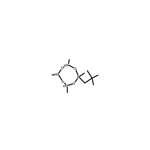 C[SiH]1O[SiH](C)O[Si](C)(CC(C)(C)C)O[SiH](C)O1